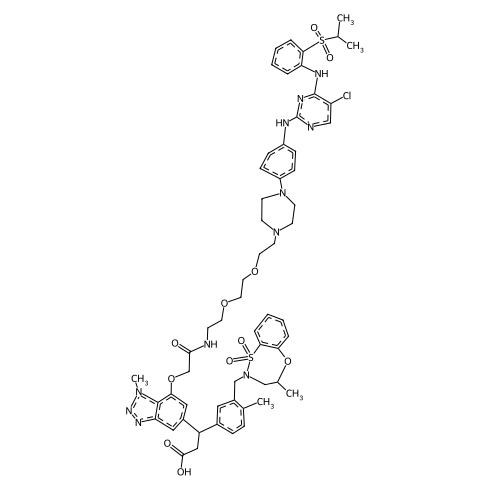 Cc1ccc(C(CC(=O)O)c2cc(OCC(=O)NCCOCCOCCN3CCN(c4ccc(Nc5ncc(Cl)c(Nc6ccccc6S(=O)(=O)C(C)C)n5)cc4)CC3)c3c(c2)nnn3C)cc1CN1CC(C)Oc2ccccc2S1(=O)=O